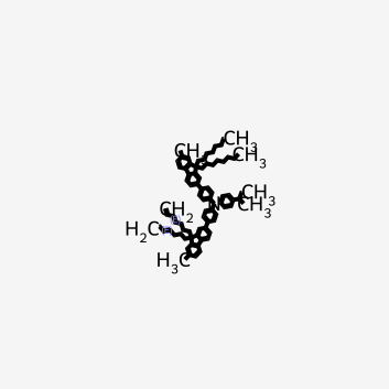 C=C/C=C/CCCC1(CCC/C=C/C=C)c2cc(C)ccc2-c2ccc(-c3ccc(N(c4ccc(-c5ccc6c(c5)C(CCCCCCCC)(CCCCCCCC)c5cc(C)ccc5-6)cc4)c4ccc(C(C)CC)cc4)cc3)cc21